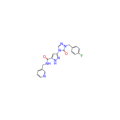 O=C(NCc1cccnc1)c1cc(-n2cnn(Cc3ccc(F)cc3)c2=O)n[nH]1